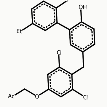 CCc1ccc(F)c(-c2cc(Cc3c(Cl)cc(OCC(C)=O)cc3Cl)ccc2O)c1